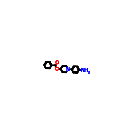 Nc1ccc(N2CCC(OC(=O)c3ccccc3)CC2)cc1